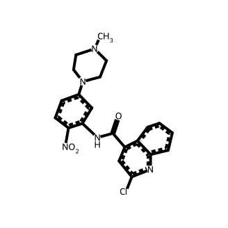 CN1CCN(c2ccc([N+](=O)[O-])c(NC(=O)c3cc(Cl)nc4ccccc34)c2)CC1